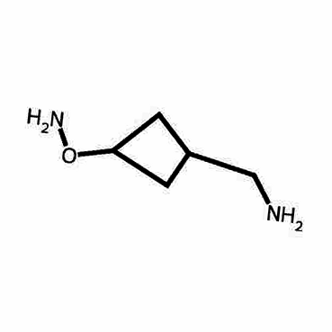 NCC1CC(ON)C1